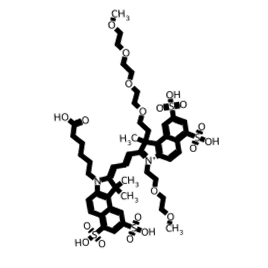 COCCOCCOCCOCCC1(C)C(/C=C/C=C2/N(CCCCCC(=O)O)c3ccc4c(S(=O)(=O)O)cc(S(=O)(=O)O)cc4c3C2(C)C)=[N+](CCOCCOC)c2ccc3c(S(=O)(=O)O)cc(S(=O)(=O)O)cc3c21